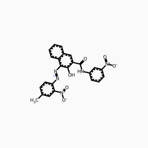 Cc1ccc(/N=N/c2c(O)c(C(=O)Nc3cccc([N+](=O)[O-])c3)cc3ccccc23)c([N+](=O)[O-])c1